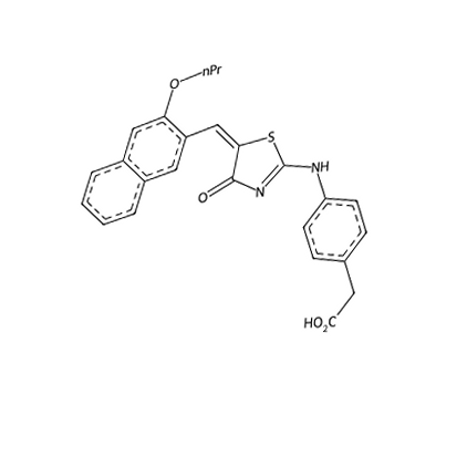 CCCOc1cc2ccccc2cc1C=C1SC(Nc2ccc(CC(=O)O)cc2)=NC1=O